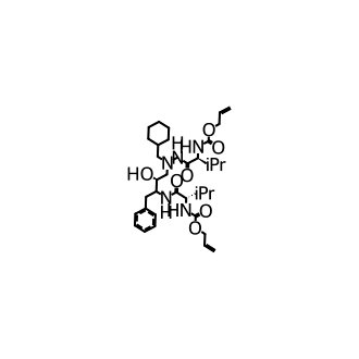 C=CCOC(=O)N[C@H](C(=O)NC(Cc1ccccc1)[C@@H](O)CN(CC1CCCCC1)NC(=O)[C@@H](NC(=O)OCC=C)C(C)C)C(C)C